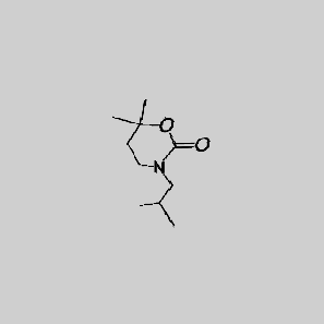 CC(C)CN1CCC(C)(C)OC1=O